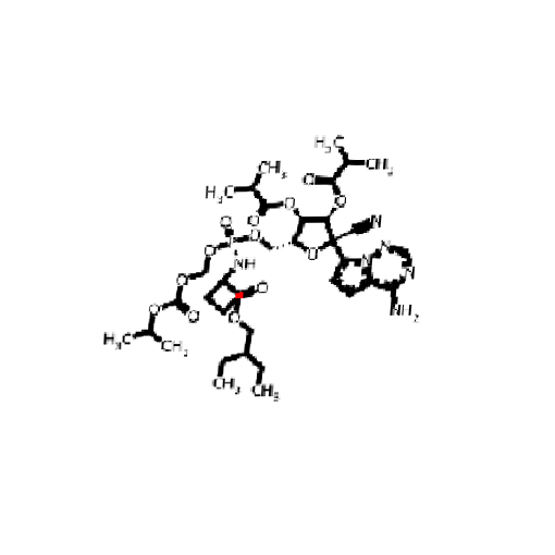 CCC(CC)COC(=O)C1(N[P@@](=O)(OCOC(=O)OC(C)C)OC[C@H]2O[C@@](C#N)(c3ccc4c(N)ncnn34)[C@H](OC(=O)C(C)C)[C@@H]2OC(=O)C(C)C)CCC1